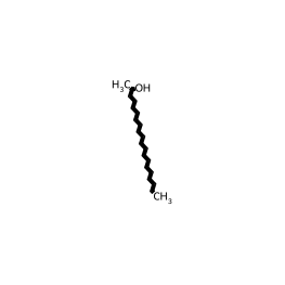 CCCCCCCCCCCCCCCCCCC(C)O